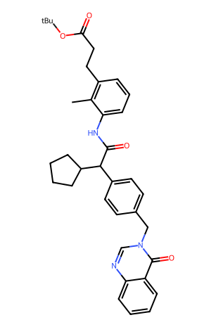 Cc1c(CCC(=O)OC(C)(C)C)cccc1NC(=O)C(c1ccc(Cn2cnc3ccccc3c2=O)cc1)C1CCCC1